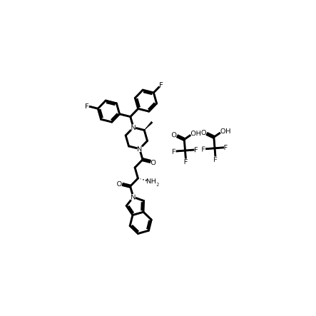 C[C@H]1CN(C(=O)C[C@H](N)C(=O)n2cc3ccccc3c2)CCN1C(c1ccc(F)cc1)c1ccc(F)cc1.O=C(O)C(F)(F)F.O=C(O)C(F)(F)F